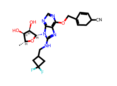 C[C@H]1O[C@@H](n2c(NCC3CC(F)(F)C3)nc3c(OCC4=CCC(C#N)C=C4)ncnc32)[C@H](O)[C@@H]1O